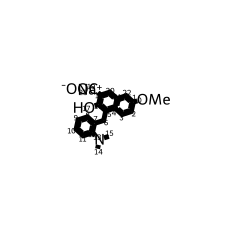 COc1ccc2c(Cc3ccccc3N(C)C)c(O)c(C(=O)[O-])cc2c1.[Na+]